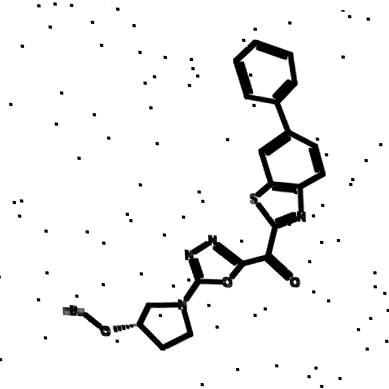 CCCCO[C@H]1CCN(c2nnc(C(=O)c3nc4ccc(-c5ccccc5)cc4s3)o2)C1